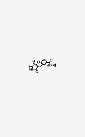 O=C(NC1CC1)c1ccc2c(c1)Cc1c([nH]c(=S)[nH]c1=O)O2